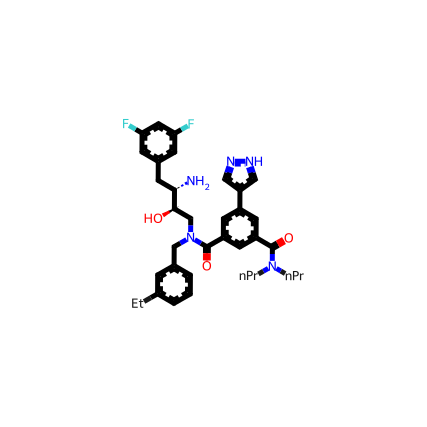 CCCN(CCC)C(=O)c1cc(C(=O)N(Cc2cccc(CC)c2)C[C@@H](O)[C@@H](N)Cc2cc(F)cc(F)c2)cc(-c2cn[nH]c2)c1